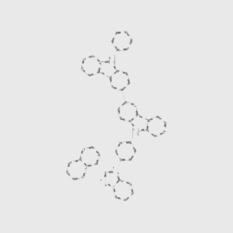 c1ccc(-n2c3ccccc3c3cc(-c4ccc5c(c4)c4ccccc4n5-c4ccc(-n5c(-c6cccc7ccccc67)nc6ccccc65)cc4)ccc32)cc1